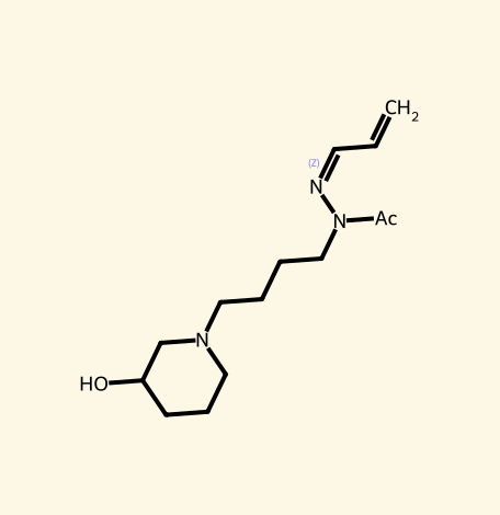 C=C/C=N\N(CCCCN1CCCC(O)C1)C(C)=O